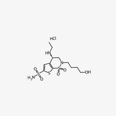 CCN[C@H]1CN(CCCCO)S(=O)(=O)c2sc(S(N)(=O)=O)cc21.Cl